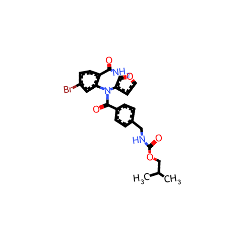 CC(C)COC(=O)NCc1ccc(C(=O)N(c2ccoc2)c2cc(Br)ccc2C(N)=O)cc1